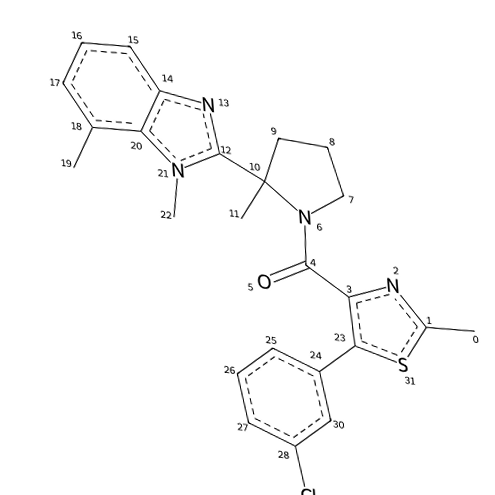 Cc1nc(C(=O)N2CCCC2(C)c2nc3cccc(C)c3n2C)c(-c2cccc(Cl)c2)s1